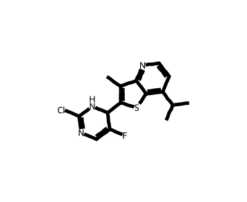 Cc1c(C2NC(Cl)=NC=C2F)sc2c(C(C)C)ccnc12